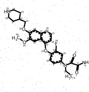 CCN(C(=O)C(N)=O)c1ccc(Oc2ccnc3cc(OCC4CCNCC4)c(OC)cc23)c(F)c1